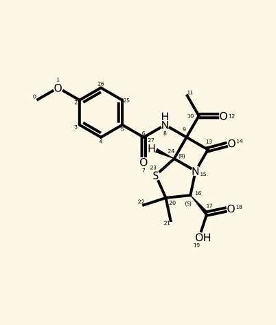 COc1ccc(C(=O)NC2(C(C)=O)C(=O)N3[C@@H](C(=O)O)C(C)(C)S[C@@H]32)cc1